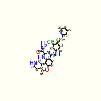 CC(Oc1[c]cc2c(c1)NC(C(N)=O)=NC2Nc1ccc(OCc2ccccn2)c(Cl)c1)C1CCNCC1